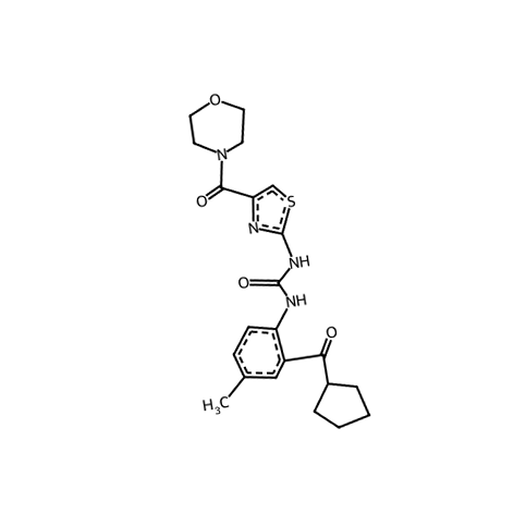 Cc1ccc(NC(=O)Nc2nc(C(=O)N3CCOCC3)cs2)c(C(=O)C2CCCC2)c1